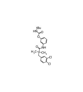 CC(C)(C)NC(=O)Oc1cccc(NC(=O)C(C)(C)Cc2ccc(Cl)c(Cl)c2)c1